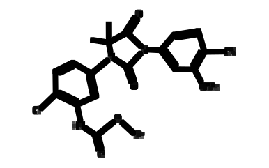 COc1cc(N2C(=O)N(c3ccc(Cl)c(NC(=O)OC(C)C)c3)C(C)(C)C2=O)ccc1C#N